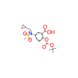 CC(C)(C)OC(=O)Oc1ccc(N(CC2CC2)S(C)(=O)=O)cc1C(=O)O